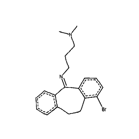 CN(C)CCCN=C1c2ccccc2CCc2c(Br)cccc21